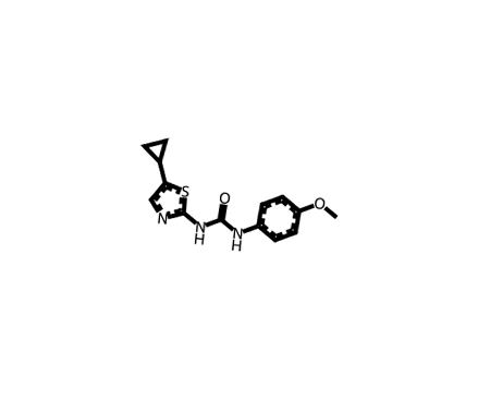 COc1ccc(NC(=O)Nc2ncc(C3CC3)s2)cc1